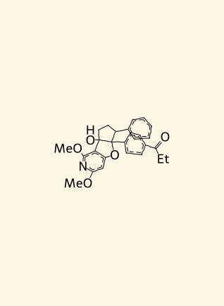 CCC(=O)c1ccc(C23Oc4cc(OC)nc(OC)c4C2(O)CCC3c2ccccc2)cc1